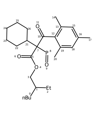 CCCCC(CC)COC(=O)C(P=O)(C(=O)c1c(C)cc(C)cc1C)C1CCCCC1